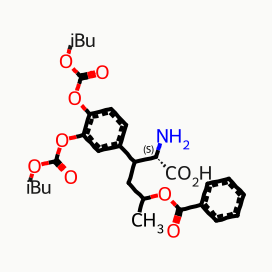 CCC(C)OC(=O)Oc1ccc(C(CC(C)OC(=O)c2ccccc2)[C@H](N)C(=O)O)cc1OC(=O)OC(C)CC